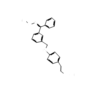 CC(C)O/N=C(/c1ccccc1)c1cccc(CNc2ccc(CCC(=O)O)cc2)c1